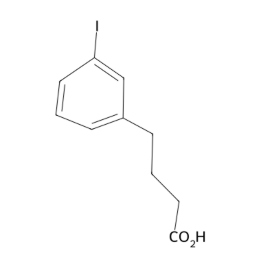 O=C(O)CCCc1cccc(I)c1